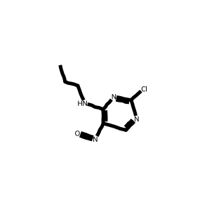 CCCNc1nc(Cl)ncc1N=O